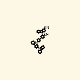 N#Cc1ccc2c(c1)c1ccccc1n2-c1cc(-c2ccc(-n3c4ccccc4c4ccc(-n5c6ccccc6c6ccccc65)cc43)cc2)ccc1C#N